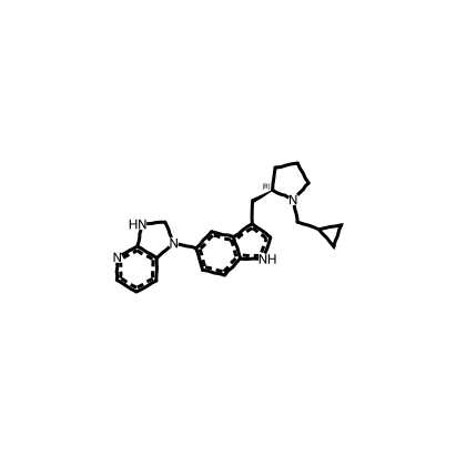 c1cnc2c(c1)N(c1ccc3[nH]cc(C[C@H]4CCCN4CC4CC4)c3c1)CN2